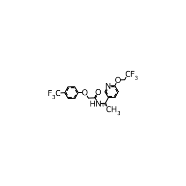 C[C@@H](NC(=O)COc1ccc(C(F)(F)F)cc1)c1ccc(OCC(F)(F)F)nc1